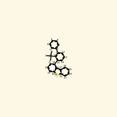 CC(C)(C)c1c(-c2ccccc2)cccc1-c1cccc2sc3ccccc3c12